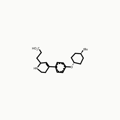 CC(C)(C)[C@H]1CC[C@H](Oc2ccc(C3=CC(CCC(=O)O)NCC3)cc2)CC1